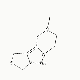 IN1CCN2NN3CSCC3=C2C1